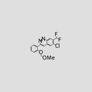 COCOc1ccccc1-c1cc2cc(Cl)c(C(F)F)cc2nn1